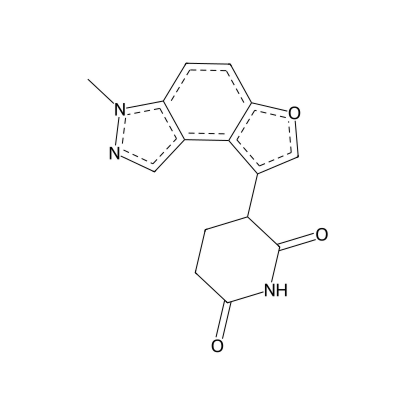 Cn1ncc2c3c(C4CCC(=O)NC4=O)coc3ccc21